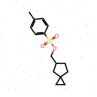 Cc1ccc(S(=O)(=O)OCC2CCC3(CC3)C2)cc1